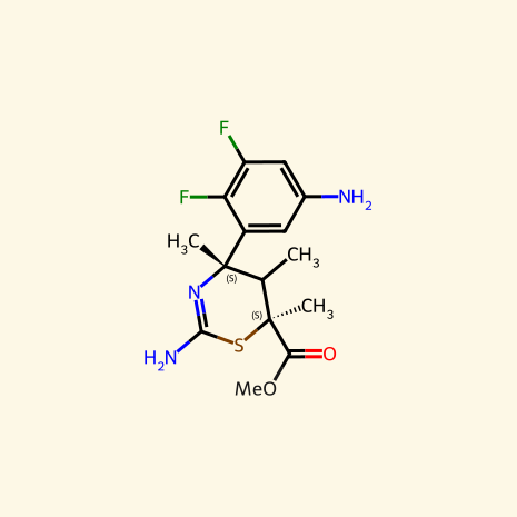 COC(=O)[C@@]1(C)SC(N)=N[C@](C)(c2cc(N)cc(F)c2F)C1C